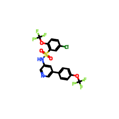 O=S(=O)(Nc1cncc(-c2ccc(OC(F)(F)F)cc2)c1)c1cc(Cl)ccc1OC(F)(F)F